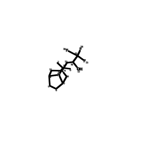 CC(C)N1C2CCC1CN(CC(O)C(F)(F)F)C2